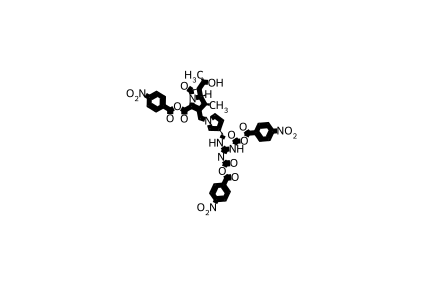 C[C@@H](O)[C@H]1C(=O)N2C(C(=O)OC(=O)c3ccc([N+](=O)[O-])cc3)=C(CN3CC[C@H](CN/C(=N/C(=O)OC(=O)c4ccc([N+](=O)[O-])cc4)NC(=O)OC(=O)c4ccc([N+](=O)[O-])cc4)C3)[C@H](C)[C@H]12